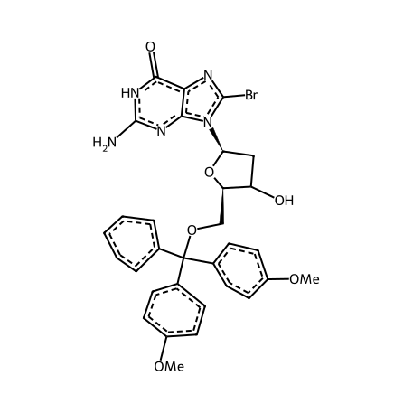 COc1ccc(C(OC[C@H]2O[C@@H](n3c(Br)nc4c(=O)[nH]c(N)nc43)CC2O)(c2ccccc2)c2ccc(OC)cc2)cc1